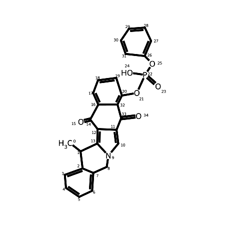 CC1c2ccccc2Cn2cc3c(c21)C(=O)c1cccc(OP(=O)(O)Oc2ccccc2)c1C3=O